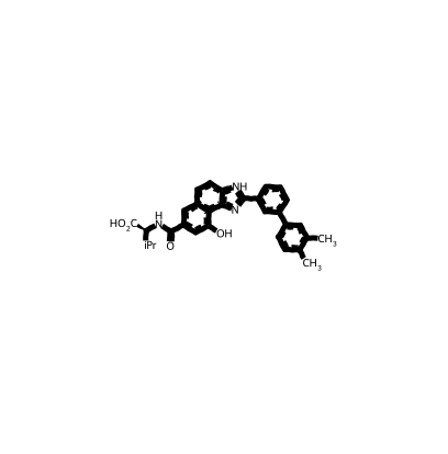 Cc1ccc(-c2cccc(-c3nc4c(ccc5cc(C(=O)N[C@H](C(=O)O)C(C)C)cc(O)c54)[nH]3)c2)cc1C